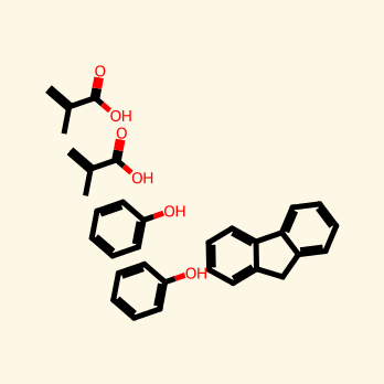 C=C(C)C(=O)O.C=C(C)C(=O)O.Oc1ccccc1.Oc1ccccc1.c1ccc2c(c1)Cc1ccccc1-2